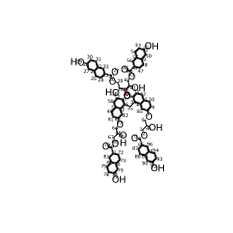 O=C(OCC(O)COc1ccc2ccc(OCC(O)COC(=O)c3ccc4cc(O)ccc4c3)c(Cc3c(OCC(O)COC(=O)c4ccc5cc(O)ccc5c4)ccc4ccc(OCC(O)COC(=O)c5ccc6cc(O)ccc6c5)cc34)c2c1)c1ccc2cc(O)ccc2c1